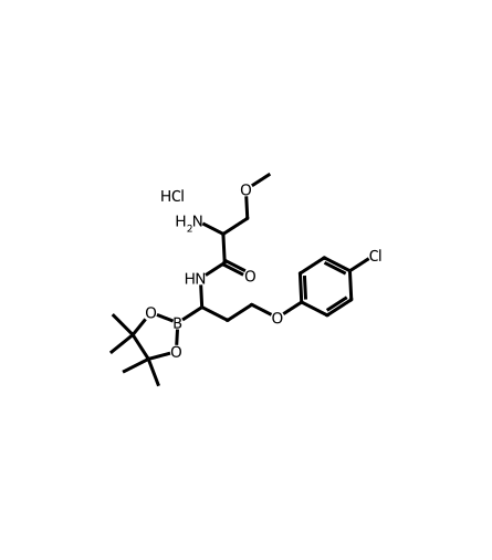 COCC(N)C(=O)NC(CCOc1ccc(Cl)cc1)B1OC(C)(C)C(C)(C)O1.Cl